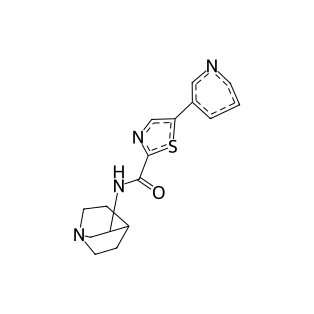 O=C(NC1CN2CCC1CC2)c1ncc(-c2cccnc2)s1